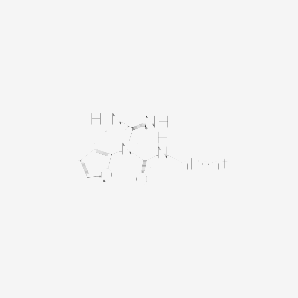 CCCCCNC(=O)N(C(=N)N)c1ccco1